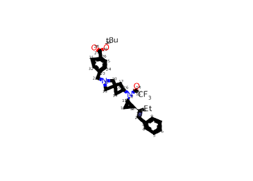 CC/C(=C\c1ccccc1)[C@@H]1C[C@H]1N(C(=O)C(F)(F)F)C1CC2(C1)CN(Cc1ccc(C(=O)OC(C)(C)C)cc1)C2